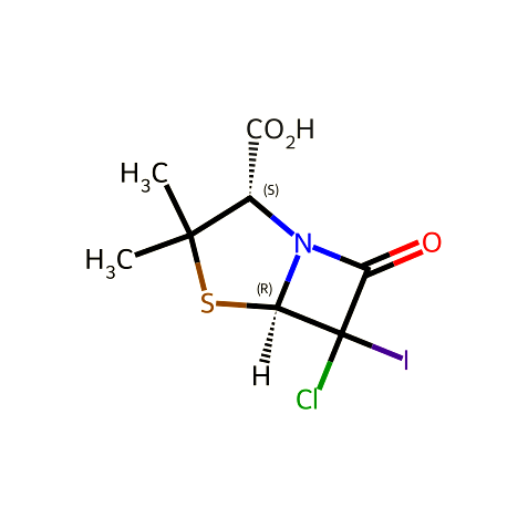 CC1(C)S[C@H]2N(C(=O)C2(Cl)I)[C@H]1C(=O)O